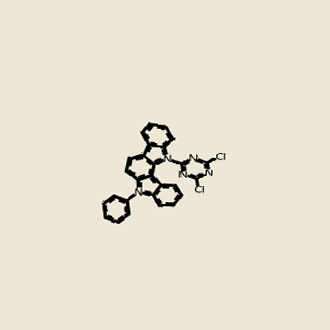 Clc1nc(Cl)nc(-n2c3ccccc3c3ccc4c(c5ccccc5n4-c4ccccc4)c32)n1